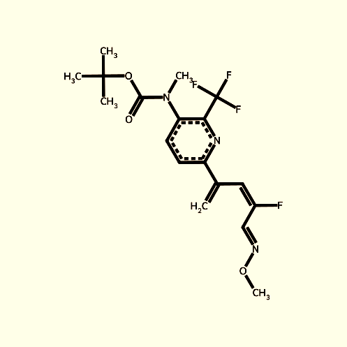 C=C(/C=C(F)\C=N\OC)c1ccc(N(C)C(=O)OC(C)(C)C)c(C(F)(F)F)n1